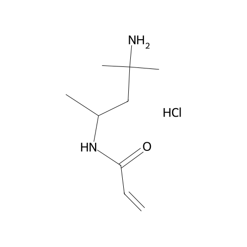 C=CC(=O)NC(C)CC(C)(C)N.Cl